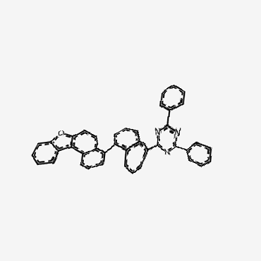 c1ccc(-c2nc(-c3ccccc3)nc(-c3cccc4c(-c5cccc6c5ccc5oc7ccccc7c56)cccc34)n2)cc1